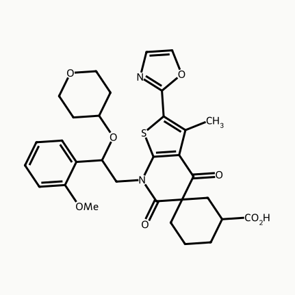 COc1ccccc1C(CN1C(=O)C2(CCCC(C(=O)O)C2)C(=O)c2c1sc(-c1ncco1)c2C)OC1CCOCC1